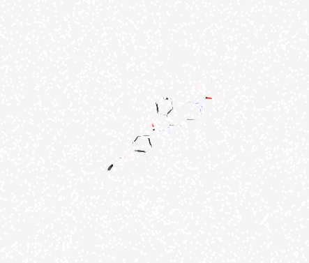 CC#CCOc1ccc(C(=O)NC(CC2CCN(C(=O)OC(C)(C)C)CC2)c2ccccc2)cc1F